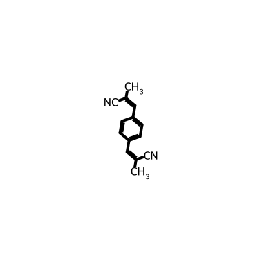 C/C(C#N)=C/c1ccc(/C=C(/C)C#N)cc1